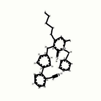 CCCCCc1cc(C)n(Cc2ccccc2)c(=O)c1Cc1ccc(-c2ccccc2C#N)cc1